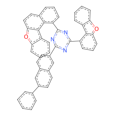 c1ccc(-c2ccc3cc(-c4nc(-c5cccc6oc7ccccc7c56)nc(-c5cccc6ccc7oc8ccccc8c7c56)n4)ccc3c2)cc1